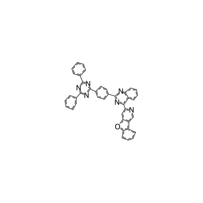 c1ccc(-c2nc(-c3ccccc3)nc(-c3ccc(-c4nc(-c5cc6oc7ccccc7c6cn5)c5ccccc5n4)cc3)n2)cc1